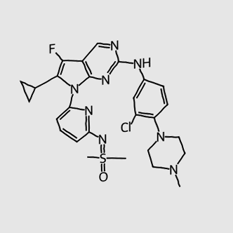 CN1CCN(c2ccc(Nc3ncc4c(F)c(C5CC5)n(-c5cccc(N=S(C)(C)=O)n5)c4n3)cc2Cl)CC1